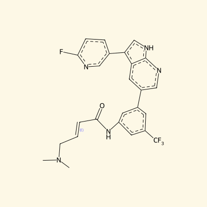 CN(C)C/C=C/C(=O)Nc1cc(-c2cnc3[nH]cc(-c4ccc(F)nc4)c3c2)cc(C(F)(F)F)c1